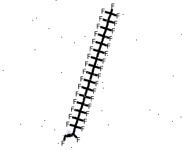 F/[C]=C(\F)C(F)(F)C(F)(F)C(F)(F)C(F)(F)C(F)(F)C(F)(F)C(F)(F)C(F)(F)C(F)(F)C(F)(F)C(F)(F)C(F)(F)C(F)(F)C(F)(F)C(F)(F)C(F)(F)F